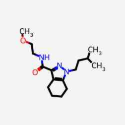 COCCNC(=O)c1nn(CCC(C)C)c2c1CCCC2